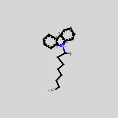 CCCCCCCCCCCCCCCCC(Br)n1c2ccccc2c2ccccc21